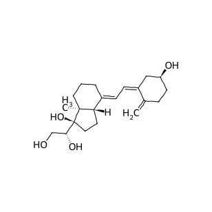 C=C1CC[C@H](O)C/C1=C/C=C1\CCC[C@@]2(C)[C@H]1CC[C@]2(O)[C@H](O)CO